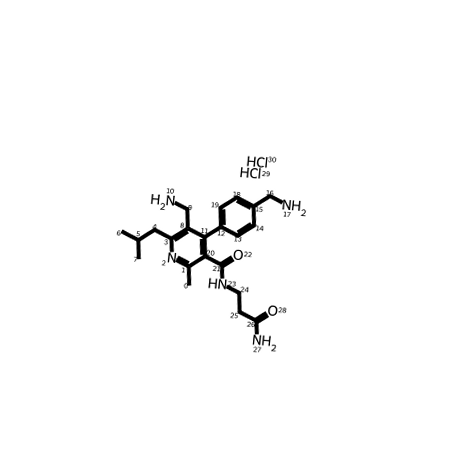 Cc1nc(CC(C)C)c(CN)c(-c2ccc(CN)cc2)c1C(=O)NCCC(N)=O.Cl.Cl